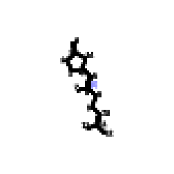 C=C1CCC(/C=C(\C)CCC=C(C)C)C1